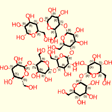 OC[C@H]1O[C@H](O[C@H]2O[C@H](CO)[C@@H](O)[C@H](O)[C@H]2O)[C@H](O)[C@@H](O)[C@@H]1O.OC[C@H]1O[C@H](O[C@H]2[C@H](O)[C@@H](O)[C@@H](O[C@H]3[C@H](O)[C@@H](O)[C@@H](O[C@H]4[C@H](O)[C@@H](O)[C@@H](O[C@H]5[C@H](O)[C@@H](O)[C@@H](O[C@H]6[C@H](O)[C@@H](O)[C@@H](O)O[C@@H]6CO)O[C@@H]5CO)O[C@@H]4CO)O[C@@H]3CO)O[C@@H]2CO)[C@H](O)[C@@H](O)[C@@H]1O